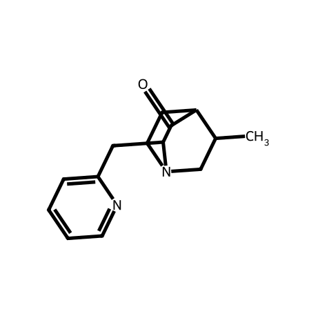 CC1CN2CCC1C(=O)C2Cc1ccccn1